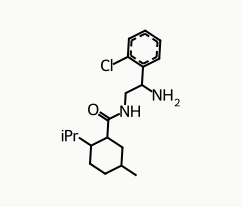 CC1CCC(C(C)C)C(C(=O)NCC(N)c2ccccc2Cl)C1